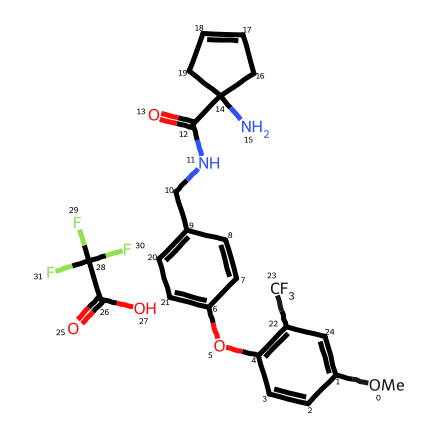 COc1ccc(Oc2ccc(CNC(=O)C3(N)CC=CC3)cc2)c(C(F)(F)F)c1.O=C(O)C(F)(F)F